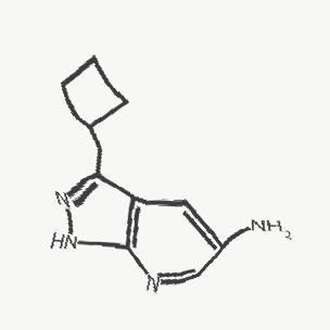 Nc1cnc2[nH]nc(C3CCC3)c2c1